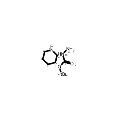 C1CCNCC1.CC(C)(C)OC(=O)NN